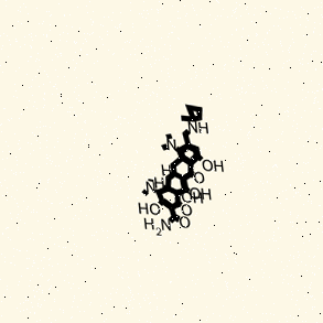 CN(C)c1c(CNC2(C)CCC2)cc(O)c2c1C[C@H]1C[C@H]3[C@H](N(C)C)C(O)=C(C(N)=O)C(=O)[C@@]3(O)C(O)=C1C2=O